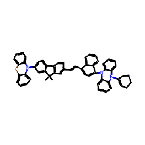 CC1(C)c2cc(/C=C/c3ccc(N4c5ccccc5N(C5=CCCCC5)c5ccccc54)c4ccccc34)ccc2-c2ccc(N3c4ccccc4Sc4ccccc43)cc21